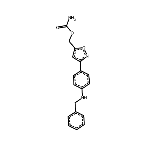 NC(=O)OCc1cc(-c2ccc(NCc3ccccc3)cc2)no1